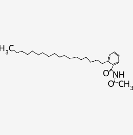 CCCCCCCCCCCCCCCCCCc1ccccc1C(=O)NC(C)=O